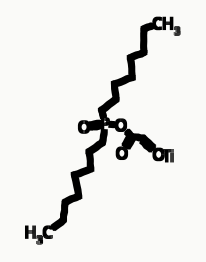 CCCCCCCCP(=O)(CCCCCCCC)OC(=O)C=O.[Ti]